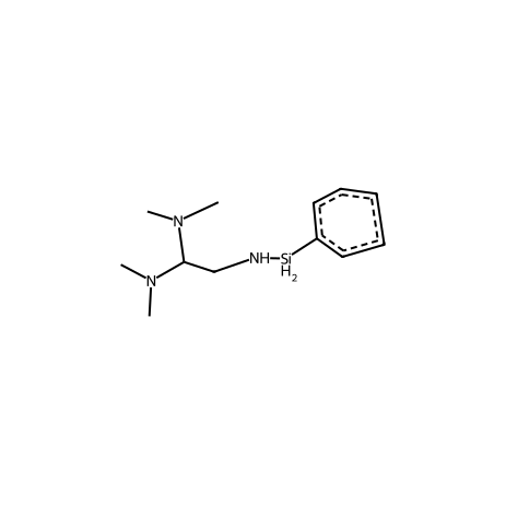 CN(C)C(CN[SiH2]c1ccccc1)N(C)C